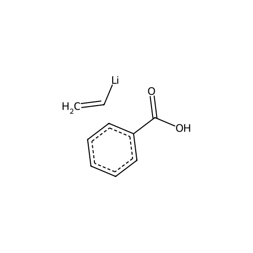 O=C(O)c1ccccc1.[Li][CH]=C